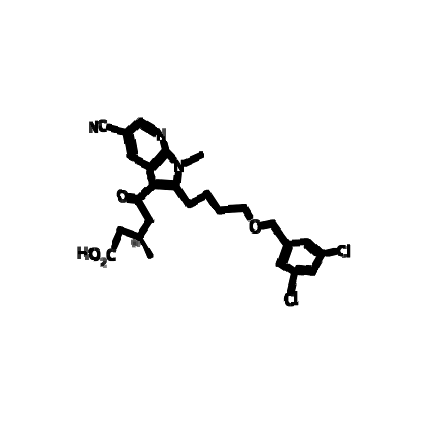 C[C@@H](CC(=O)O)CC(=O)c1c(CCCCOCc2cc(Cl)cc(Cl)c2)n(C)c2ncc(C#N)cc12